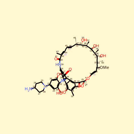 CO[C@H]1/C=C/O[C@@]2(C)Oc3c(C)c(O)c4c(=O)c(c5oc6cc(N7CCC(N)CC7)cc(O)c6nc-5c4c3C2=O)NC(=O)/C(C)=C\C=C\[C@H](C)[C@H](O)[C@@H](C)[C@@H](O)[C@@H](C)[C@H](O)[C@@H]1C